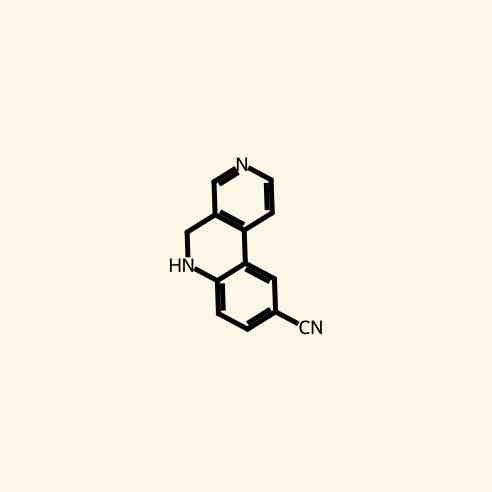 N#Cc1ccc2c(c1)-c1ccncc1CN2